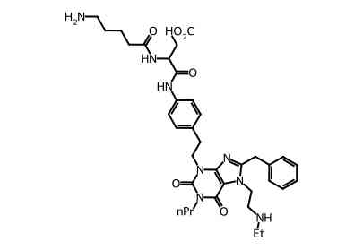 CCCn1c(=O)c2c(nc(Cc3ccccc3)n2CCNCC)n(CCc2ccc(NC(=O)C(CC(=O)O)NC(=O)CCCCN)cc2)c1=O